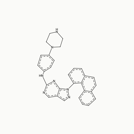 c1ccc2c(c1)ccc1cccc(-n3ncc4cnc(Nc5ccc(N6CCNCC6)cc5)nc43)c12